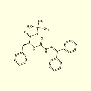 CC(C)(C)OC(=O)[C@H](Cc1ccccc1)NC(=O)NN=C(c1ccccc1)c1ccccc1